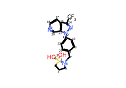 OS1(O)CCCN1Cc1ccc(-n2nc(C(F)(F)F)c3ccncc32)cc1